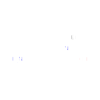 CCN1c2cc(C)c(N)cc2CC1O